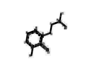 Cc1ccnn(CCN(C)C)c1=O